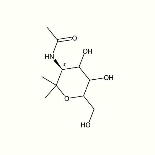 CC(=O)N[C@H]1C(O)C(O)C(CO)OC1(C)C